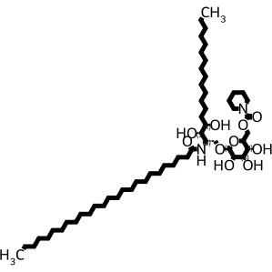 CCCCCCCCCCCCCCCCCCCCCCCCCC(=O)N[C@@H](CO[C@H]1OC(COC(=O)N2CCCCC2)[C@H](O)[C@H](O)C1O)[C@H](O)[C@H](O)CCCCCCCCCCCCCC